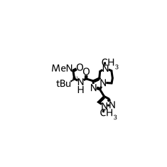 CNC(=O)[C@@H](NC(=O)c1nc(-c2cnn(C)c2)n2c1CN(C)CCC2)C(C)(C)C